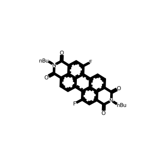 CCCCN1C(=O)c2ccc3c4c(F)cc5c6c(ccc(c7c(F)cc(c2c37)C1=O)c64)C(=O)N(CCCC)C5=O